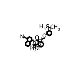 CN(C)c1cccc(OCC[C@@]23CC[C@@](C)(O2)[C@H]2C(=O)N(c4ccc(C#N)c5ccccc45)C(=O)[C@H]23)c1